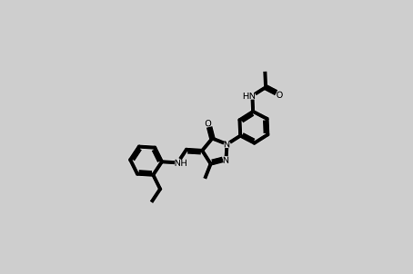 CCc1ccccc1NC=C1C(=O)N(c2cccc(NC(C)=O)c2)N=C1C